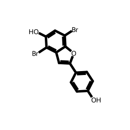 Oc1ccc(-c2cc3c(Br)c(O)cc(Br)c3o2)cc1